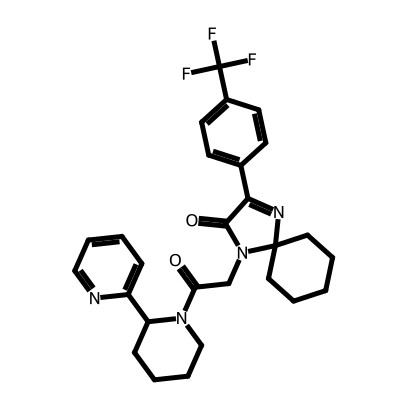 O=C(CN1C(=O)C(c2ccc(C(F)(F)F)cc2)=NC12CCCCC2)N1CCCCC1c1ccccn1